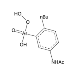 CCCCc1ccc(NC(C)=O)cc1[As](=O)(O)OO